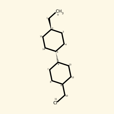 CC[C@H]1CC[C@H](C2CCC(CCl)CC2)CC1